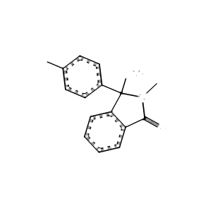 COC1(c2ccc(F)cc2)c2ccccc2C(=O)N1C